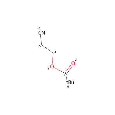 CC(C)(C)C(=O)OCCC#N